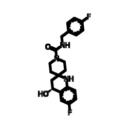 O=C(NCc1ccc(F)cc1)N1CCC2(CC1)C[C@@H](O)c1cc(F)ccc1N2